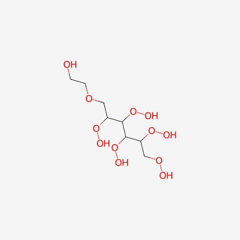 OCCOCC(OO)C(OO)C(OO)C(COO)OO